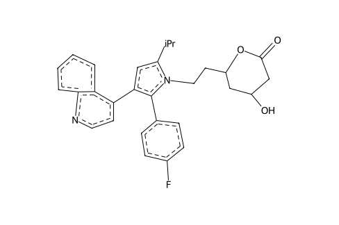 CC(C)c1cc(-c2ccnc3ccccc23)c(-c2ccc(F)cc2)n1CCC1CC(O)CC(=O)O1